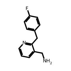 NCc1cccnc1Cc1ccc(F)cc1